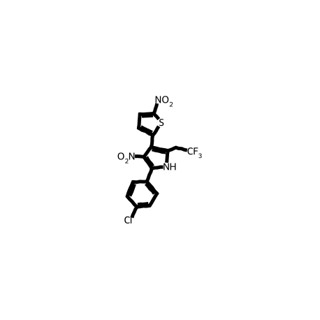 O=[N+]([O-])c1ccc(-c2c(CC(F)(F)F)[nH]c(-c3ccc(Cl)cc3)c2[N+](=O)[O-])s1